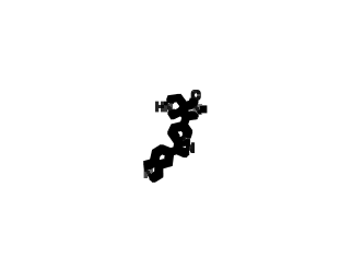 Cn1cc(-c2ccc3c(-c4ccc5cnccc5c4)cnn3c2)c2c(c1=O)CCNC2